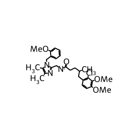 COc1ccccc1Cn1c(C[N]C(=O)CCC(C)Cc2ccc(OC)c(OC)c2Cl)nc(C)c1C